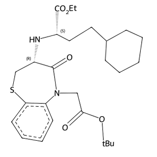 CCOC(=O)[C@H](CCC1CCCCC1)N[C@H]1CSc2ccccc2N(CC(=O)OC(C)(C)C)C1=O